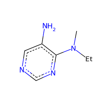 CCN(C)c1ncncc1N